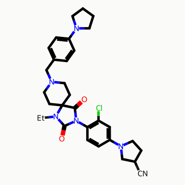 CCN1C(=O)N(c2ccc(N3CCC(C#N)C3)cc2Cl)C(=O)C12CCN(Cc1ccc(N3CCCC3)cc1)CC2